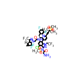 CC(C)(C#Cc1ccc(-c2ccc(Cl)c3c(N(C(=O)CN)S(C)(=O)=O)nn(CC(F)(F)F)c23)c([C@H](Cc2cc(F)cc(F)c2)NC(=O)Cn2nc(C(F)(F)F)c3c2C(F)(F)C2C[C@H]32)n1)S(C)(=O)=O